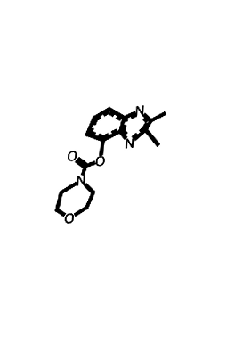 Cc1nc2cccc(OC(=O)N3CCOCC3)c2nc1C